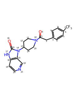 O=C(Cc1ccc(C(F)(F)F)cc1)N1CCC(n2c(=O)[nH]c3ccncc32)CC1